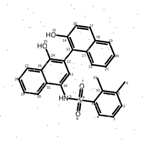 Cc1cccc(S(=O)(=O)Nc2cc(-c3c(O)ccc4ccccc34)c(O)c3ccccc23)c1C